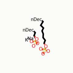 CCCCCCCCCCCCCCCCCCOS(=O)(=O)[O-].CCCCCCCCCCCCOS(=O)(=O)[O-].[K+].[Na+]